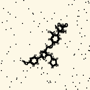 COc1ccc(-c2nc(COc3ccc(-c4noc(=O)[nH]4)c(C)c3)c(CN3CCCC3)o2)cc1